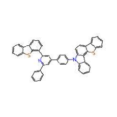 c1ccc(-c2cc(-c3ccc(-n4c5ccccc5c5c6sc7ccccc7c6ccc54)cc3)cc(-c3cccc4c3sc3ccccc34)n2)cc1